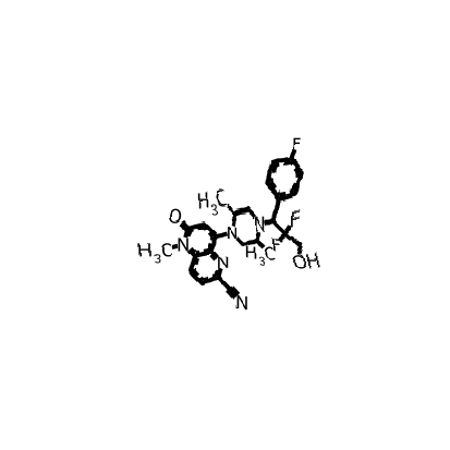 CC1CN(c2cc(=O)n(C)c3ccc(C#N)nc23)[C@@H](C)CN1C(c1ccc(F)cc1)C(F)(F)CO